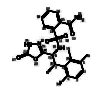 Cc1ccc(F)c([C@@H](C)[C@H](NS(=O)(=O)c2ccccc2C(N)=O)c2n[nH]c(=O)o2)c1C